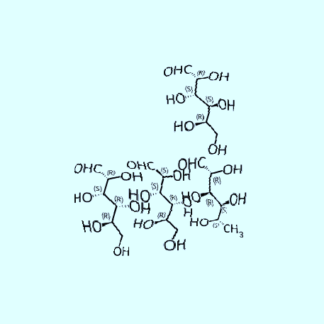 C[C@H](O)[C@H](O)[C@@H](O)[C@@H](O)C=O.O=C[C@@H](O)[C@@H](O)[C@H](O)[C@H](O)CO.O=C[C@H](O)[C@@H](O)[C@@H](O)[C@H](O)CO.O=C[C@H](O)[C@@H](O)[C@H](O)[C@H](O)CO